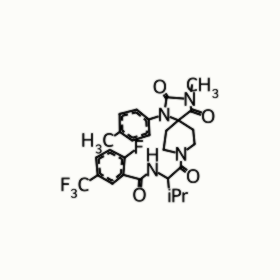 Cc1ccc(N2C(=O)N(C)C(=O)C23CCN(C(=O)C(NC(=O)c2cc(C(F)(F)F)ccc2F)C(C)C)CC3)cc1